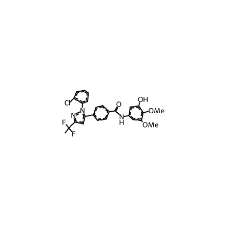 COc1cc(NC(=O)c2ccc(-c3cc(C(C)(F)F)nn3-c3ccccc3Cl)cc2)cc(O)c1OC